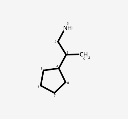 CC(C[NH])C1CCCC1